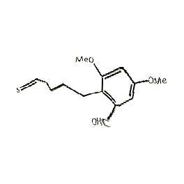 COc1cc(C=O)c(CCCC=S)c(OC)c1